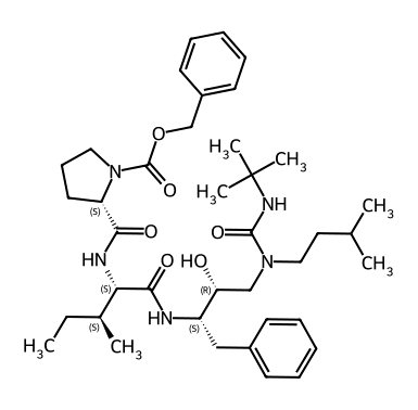 CC[C@H](C)[C@H](NC(=O)[C@@H]1CCCN1C(=O)OCc1ccccc1)C(=O)N[C@@H](Cc1ccccc1)[C@H](O)CN(CCC(C)C)C(=O)NC(C)(C)C